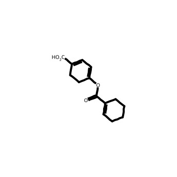 O=C(O)C1=CC=C(OC(=O)C2=CCCCC2)CC1